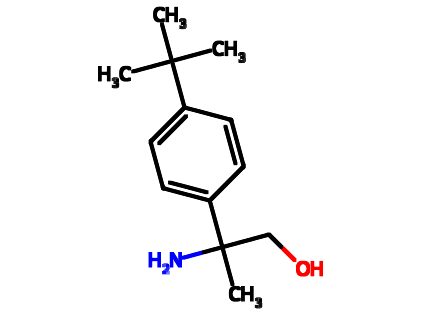 CC(C)(C)c1ccc(C(C)(N)CO)cc1